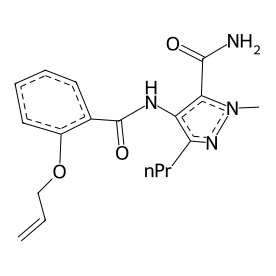 C=CCOc1ccccc1C(=O)Nc1c(CCC)nn(C)c1C(N)=O